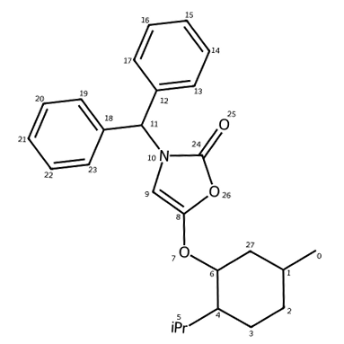 CC1CCC(C(C)C)C(Oc2cn(C(c3ccccc3)c3ccccc3)c(=O)o2)C1